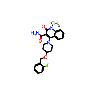 Cn1c(=O)c(C(N)=O)c(N2CCC(OCc3ccccc3F)CC2)c2ccccc21